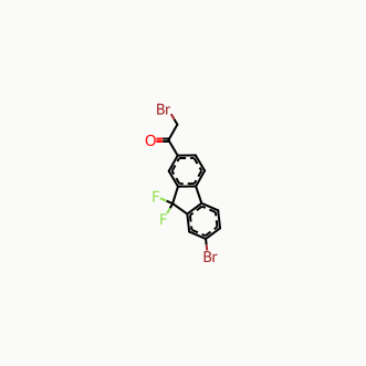 O=C(CBr)c1ccc2c(c1)C(F)(F)c1cc(Br)ccc1-2